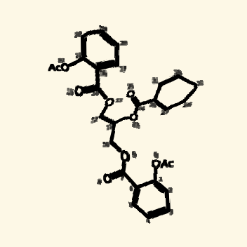 CC(=O)Oc1ccccc1C(=O)OCC(COC(=O)c1ccccc1OC(C)=O)OC(=O)C1CCCCC1